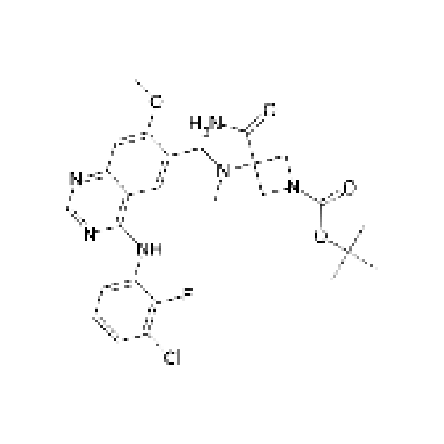 COc1cc2ncnc(Nc3cccc(Cl)c3F)c2cc1CN(C)C1(C(N)=O)CN(C(=O)OC(C)(C)C)C1